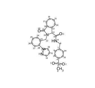 CS(=O)(=O)c1ccc(CNC(=O)C2c3ccccc3C(=O)N2Cc2ccccc2-n2cccn2)cc1